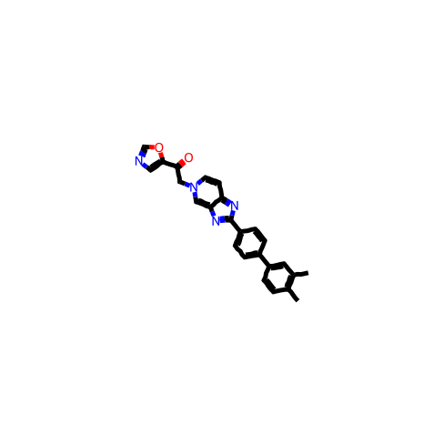 Cc1ccc(-c2ccc(-c3nc4ccn(CC(=O)c5cnco5)cc-4n3)cc2)cc1C